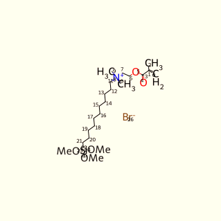 C=C(C)C(=O)OCC[N+](C)(C)CCCCCCCCCCC[Si](OC)(OC)OC.[Br-]